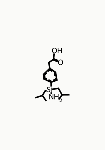 CC(C)C[Si](N)(CC(C)C)c1ccc(CC(=O)O)cc1